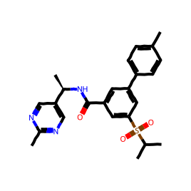 Cc1ccc(-c2cc(C(=O)N[C@H](C)c3cnc(C)nc3)cc(S(=O)(=O)C(C)C)c2)cc1